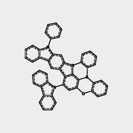 c1ccc(-n2c3ccccc3c3cc4c5c(-n6c7ccccc7c7ccccc76)cc6c7c5n(c4cc32)-c2ccccc2B7c2ccccc2O6)cc1